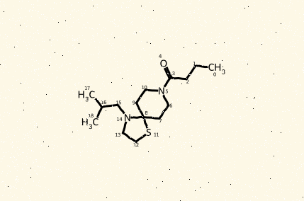 CCCC(=O)N1CCC2(CC1)SCCN2CC(C)C